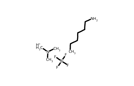 CCCCCCN.CN(C)C.F[B-](F)(F)F.[H+]